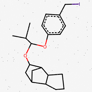 CC(C)C(Oc1ccc(CI)cc1)OC1CC2CC1C1CCCC21